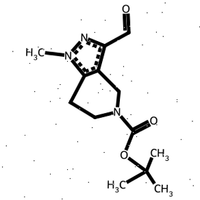 Cn1nc(C=O)c2c1CCN(C(=O)OC(C)(C)C)C2